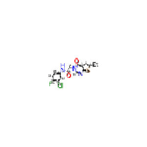 CCc1cc2c(=O)n(CC(=O)Nc3ccc(F)c(Cl)c3)cnc2s1